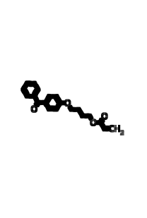 C=CC(=O)OCCCCOc1ccc(C(=O)c2ccccc2)cc1